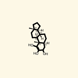 C[C@@]12CCC[C@H]1[C@@H]1CC[C@H]3CC(O)C(O)=C(O)[C@]3(C)[C@H]1CC2